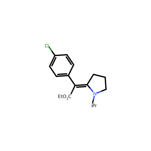 CCOC(=O)C(=C1CCCN1C(C)C)c1ccc(Cl)cc1